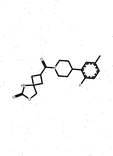 Cc1ccc(F)c(C2CCN(C(=O)C3CC4(COC(=O)N4)C3)CC2)c1